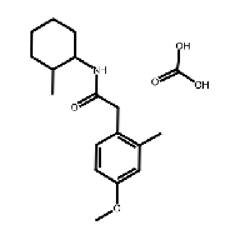 COc1ccc(CC(=O)NC2CCCCC2C)c(C)c1.O=C(O)O